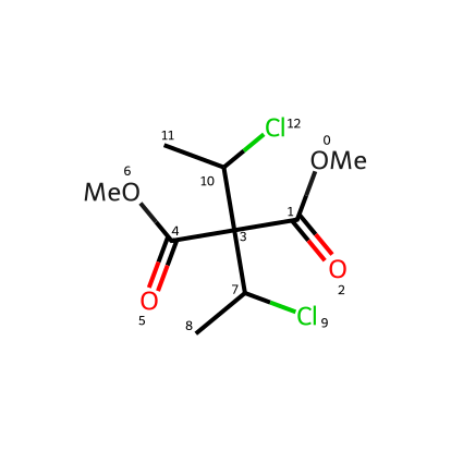 COC(=O)C(C(=O)OC)(C(C)Cl)C(C)Cl